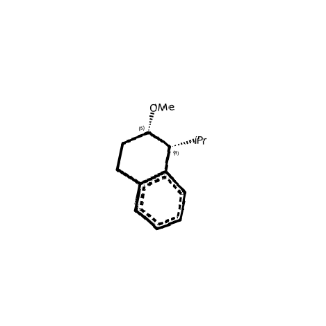 CO[C@H]1CCc2ccccc2[C@H]1C(C)C